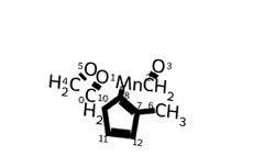 C=O.C=O.C=O.CC1=[C]([Mn])CC=C1